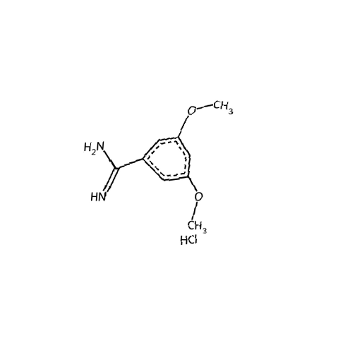 COc1cc(OC)cc(C(=N)N)c1.Cl